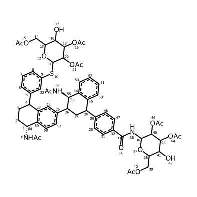 CC(=O)N[C@@H]1CCC(c2cccc(SC3OC(COC(C)=O)C(O)C(OC(C)=O)C3OC(C)=O)c2)c2cc(C3CC(c4ccc(C(=O)NC5OC(COC(C)=O)C(O)C(OC(C)=O)C5OC(C)=O)cc4)c4ccccc4[C@@H]3NC(C)=O)ccc21